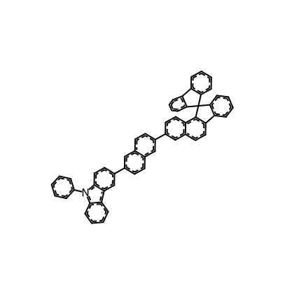 c1ccc(-n2c3ccccc3c3cc(-c4ccc5cc(-c6ccc7c8c(ccc7c6)-c6ccccc6C86c7ccccc7-c7ccccc76)ccc5c4)ccc32)cc1